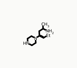 CC/C=C(\CC(C)N)N1CCNCC1